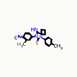 [C-]#[N+]c1ccc(N2C(=N)C3(CCC3)N(c3ccc(C)cc3)C2=S)cc1C